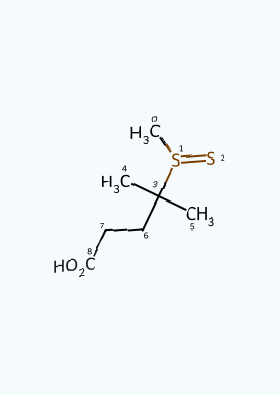 CS(=S)C(C)(C)CCC(=O)O